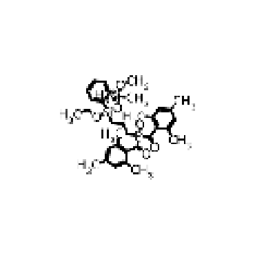 CCO[Si](CCCP(=O)(C(=O)c1c(C)cc(C)cc1C)C(=O)c1c(C)cc(C)cc1C)(O[Si](C)(C)OC)c1ccccc1